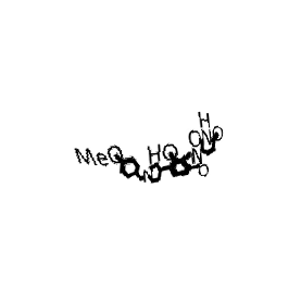 COC1CCC(CN2CCC(c3ccc4c(c3O)CN(C3CCC(=O)NC3=O)C4=O)CC2)CC1